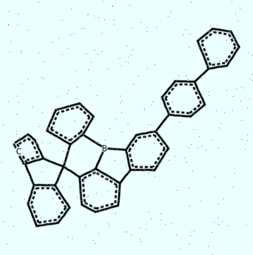 c1ccc(-c2ccc(-c3ccc4c(c3)B3c5ccccc5C5(c6ccccc6-c6ccccc65)c5cccc-4c53)cc2)cc1